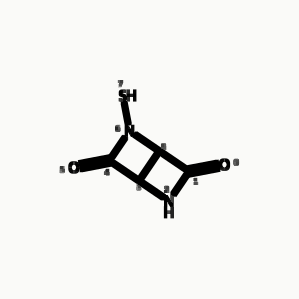 O=C1NC2C(=O)N(S)C12